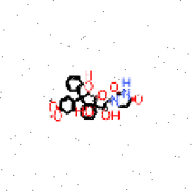 COC1(OC)C=CC(C(c2ccccc2)(c2ccccc2)C(O)[C@H]2O[C@@H](n3ccc(=O)[nH]c3=O)[C@H](O)[C@@H]2O)=CC1